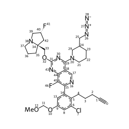 C#CCCCc1c(Cl)cc(OCOC)cc1-c1ncc2c(N3CCCC(CN=[N+]=[N-])C3)nc(OC[C@@]34CCCN3C[C@H](F)C4)nc2c1F